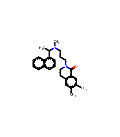 Cc1cc2c(cc1C)C(=O)N(CCCN(C)C(C)c1cccc3ccccc13)CC2